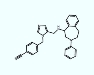 N#Cc1ccc(Cn2cncc2CNC2CN(c3ccccc3)CCc3ccccc32)cc1